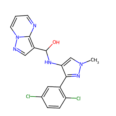 Cn1cc(NC(O)c2cnn3cccnc23)c(-c2cc(Cl)ccc2Cl)n1